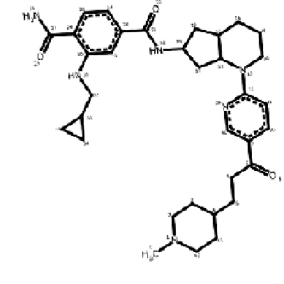 CN1CCC(CCC(=O)c2ccc(N3CCCC4CC(NC(=O)c5ccc(C(N)=O)c(NCC6CC6)c5)CC43)nc2)CC1